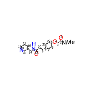 CNC(=O)COc1ccc(C=CC(=O)NCc2cccnc2)cc1